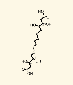 O=S(O)C[C@@H](O)[C@H](O)CSSCCSSC[C@@H](O)[C@H](O)CS(=O)O